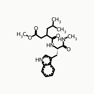 CNC(=O)[C@H](Cc1c[nH]c2ccccc12)NC(=O)C(CC(=O)OC)CC(C)C